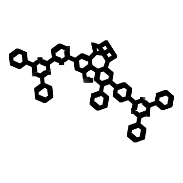 CC(C)(C)c1cc(-c2nccc(-c3nc(-c4ccccc4)nc(-c4ccccc4)n3)n2)cc2c1-c1cc(-c3ccccc3)c(-c3ccc(-c4nc(-c5ccccc5)nc(-c5ccccc5)n4)cc3)cc1C1CC3CC4CC2C341